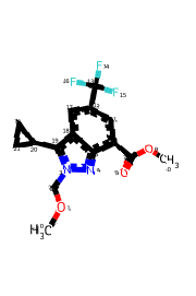 COCn1nc2c(C(=O)OC)cc(C(F)(F)F)cc2c1C1CC1